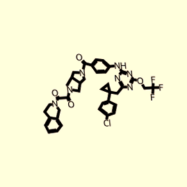 O=C(C(=O)N1CC2CN(C(=O)c3ccc(Nc4nc(CC5(c6ccc(Cl)cc6)CC5)nc(OCC(F)(F)F)n4)cc3)CC2C1)N1CCc2ccccc2C1